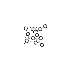 Cc1cc(C)c(N(c2ccc(-c3ccccc3)cc2)c2ccc(C3(c4ccc(N(c5ccc(-c6ccccc6)cc5)c5c(C)cc(C)c(C)c5C)cc4)c4ccccc4N(c4ccccc4)c4ccccc43)cc2)c(C)c1C